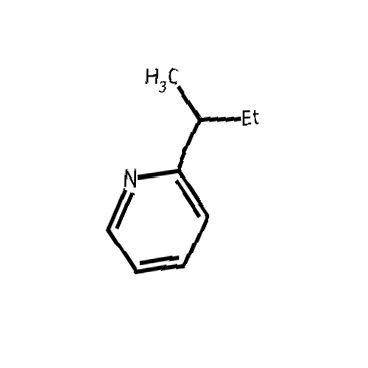 [CH2]CC(C)c1ccccn1